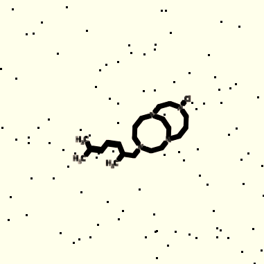 CC(C)=C/C=C\C(C)CN1CCCN2CCN(Cl)CCCN(CC2)CC1